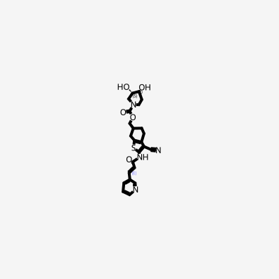 N#Cc1c(NC(=O)/C=C/c2cccnc2)sc2c1CCC(COC(=O)N1CC[C@@H](O)[C@@H](O)C1)C2